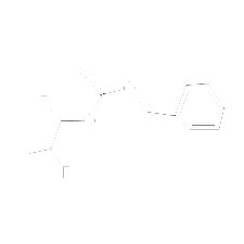 O=C(OCc1ccccc1)OC(F)C(F)F